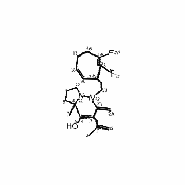 C=C(C)C1=C(O)C2(C)CCCN2N(CC2C=CCCC(F)=C2F)C1=C